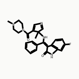 CN1CCN(C(=O)C2=CN=CC2(C)NC(=C2C(=O)Nc3cc(F)ccc32)c2ccccc2)CC1